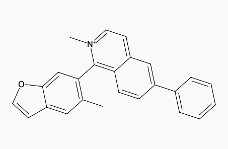 Cc1cc2ccoc2cc1-c1c2ccc(-c3ccccc3)cc2cc[n+]1C